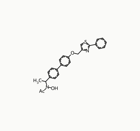 CC(=O)N(O)C(C)c1ccc(-c2ccc(OCc3csc(-c4ccccc4)n3)cc2)cc1